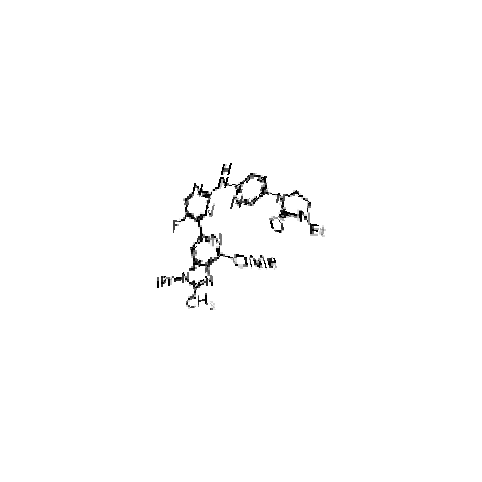 CCN1CCN(c2ccc(Nc3ncc(F)c(-c4cc5c(nc(C)n5C(C)C)c(OC)n4)n3)nc2)C1=O